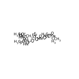 COC(=O)N[C@H](C(=O)N1C[C@@H](SC)C[C@H]1c1nc(-c2ccc(-c3ccc(C(=O)Nc4ccc(N5CCN(C(=O)[C@H]6CC6(C)C)C[C@H]5C)nc4)cc3OC(F)(F)F)cc2)c[nH]1)C(C)C